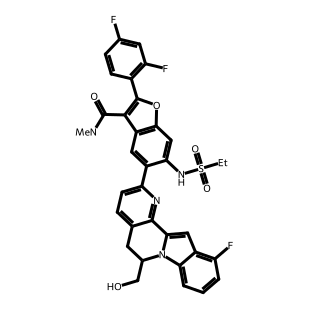 CCS(=O)(=O)Nc1cc2oc(-c3ccc(F)cc3F)c(C(=O)NC)c2cc1-c1ccc2c(n1)-c1cc3c(F)cccc3n1C(CO)C2